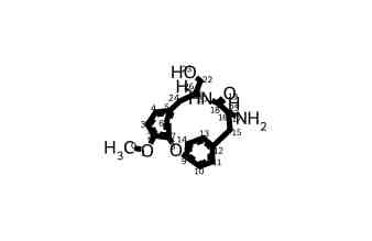 COc1ccc2cc1Oc1ccc(cc1)C[C@H](N)C(=O)N[C@H](CO)C2